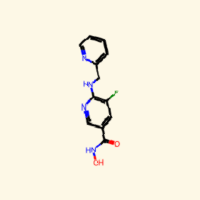 O=C(NO)c1cnc(NCc2ccccn2)c(F)c1